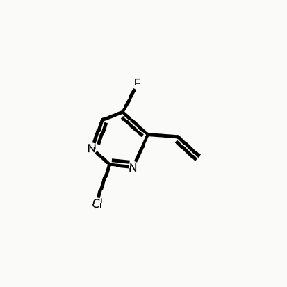 C=Cc1nc(Cl)ncc1F